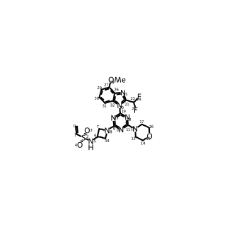 C=CS(=O)(=O)NC1CN(c2nc(N3CCOCC3)nc(-n3c(C(F)F)nc4c(OC)cccc43)n2)C1